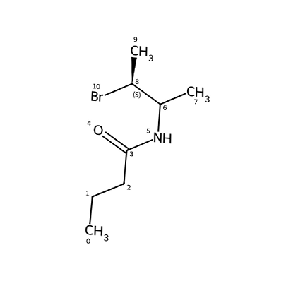 CCCC(=O)NC(C)[C@H](C)Br